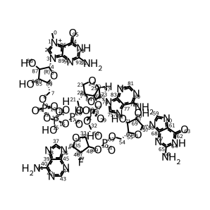 C[n+]1cn([C@@H]2O[C@H](COP(=O)([O-])OP(=O)(O)OP(=O)(O)OC[C@]34CO[C@@H](C3OP(=O)(O)OC[C@H]3O[C@@H](n5cnc6c(N)ncnc65)[C@@H](F)C3OP(=O)(O)OC[C@H]3O[C@@H](n5cnc6c(=O)[nH]c(N)nc65)[C@@H](O)C3O)[C@H](n3cnc5c(N)ncnc53)O4)[C@H](O)C2O)c2nc(N)[nH]c(=O)c21